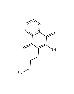 CCCCC1=C(S)C(=O)c2ccccc2C1=O